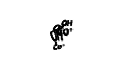 [O-2].[OH][Co+].[OH][Co+]